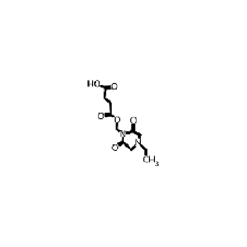 CCN1CC(=O)N(COC(=O)CCC(=O)O)C(=O)C1